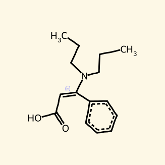 CCCN(CCC)/C(=C/C(=O)O)c1ccccc1